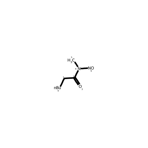 CCCCCC(=O)N(C)N=O